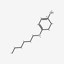 CCCCCCOC1=CC=C(O)CC1